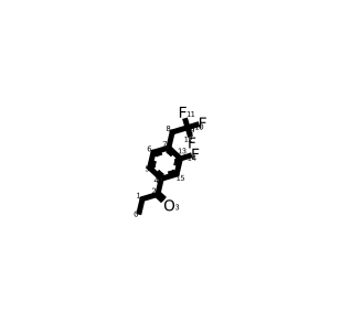 CCC(=O)c1ccc(CC(F)(F)F)c(F)c1